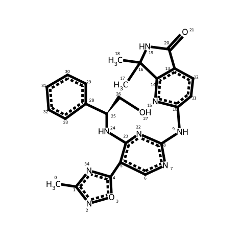 Cc1noc(-c2cnc(Nc3ccc4c(n3)C(C)(C)NC4=O)nc2N[C@H](CO)c2ccccc2)n1